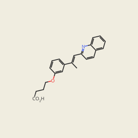 C/C(=C\c1ccc2ccccc2n1)c1cccc(OCCCC(=O)O)c1